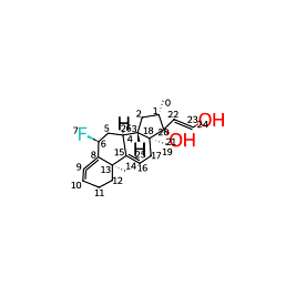 C[C@H]1C[C@H]2[C@@H]3C[C@H](F)C4=C=CCC[C@]4(C)C3=CC[C@]2(C)[C@@]1(O)C=CO